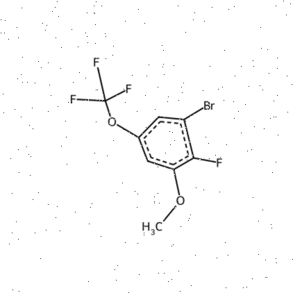 COc1cc(OC(F)(F)F)cc(Br)c1F